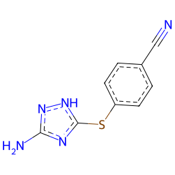 N#Cc1ccc(Sc2nc(N)n[nH]2)cc1